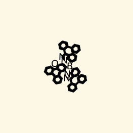 c1ccc(-c2ccccc2-c2nn3c4c(cccc24)B2c4c-3c3oc5cccc6c7ccccc7c(c4-n4nc(-c7ccccc7-c7ccccc7)c7cccc2c74)c3c56)cc1